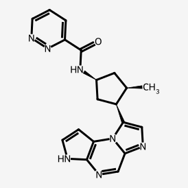 C[C@@H]1C[C@H](NC(=O)c2cccnn2)C[C@@H]1c1cnc2cnc3[nH]ccc3n12